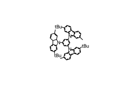 CC1=CC2C(C=C1)c1ccc(C(C)(C)C)cc1N2c1cc(-n2c3cc(C)ccc3c3ccc(C(C)(C)C)cc32)cc(-n2c3cc(C)ccc3c3ccc(C(C)(C)C)cc32)c1